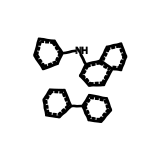 c1ccc(-c2ccccc2)cc1.c1ccc(Nc2cccc3ccccc23)cc1